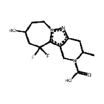 CC1Cc2nn3c(c2CN1C(=O)O)C(F)(F)CC(O)CC3